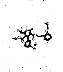 CCOC(=O)C1=C(C(F)(F)F)NC(C)=C(C(=O)OCCc2ccccc2OCC2CO2)C1c1cccc([N+](=O)[O-])c1